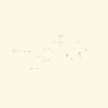 CCC(=O)O[C@@H](C)CC(N)(Cc1ccc(OC(=O)C(C)CC)c(OC(=O)C(C)CC)c1)C(=O)O